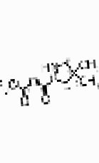 CC1(C)CN[C@H](C(=O)OC(=O)C(F)(F)F)C1